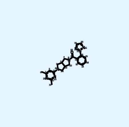 Cc1cc(N2CC3CN(C(=O)c4ccccc4-n4nccn4)CC3C2)nc(C)n1